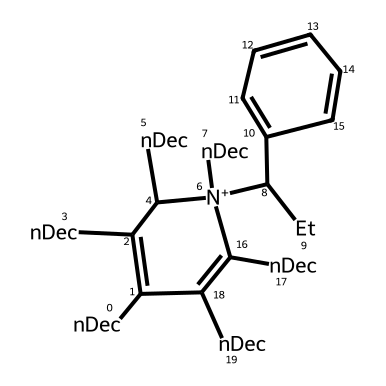 CCCCCCCCCCC1=C(CCCCCCCCCC)C(CCCCCCCCCC)[N+](CCCCCCCCCC)(C(CC)c2ccccc2)C(CCCCCCCCCC)=C1CCCCCCCCCC